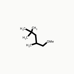 COCC(C)CC(C)(C)C